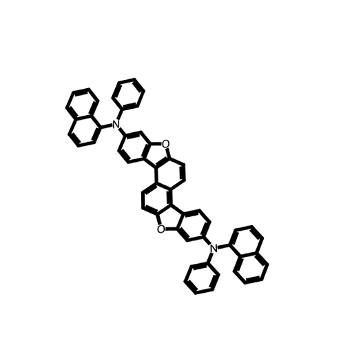 c1ccc(N(c2ccc3c(c2)oc2ccc4c(ccc5oc6cc(N(c7ccccc7)c7cccc8ccccc78)ccc6c54)c23)c2cccc3ccccc23)cc1